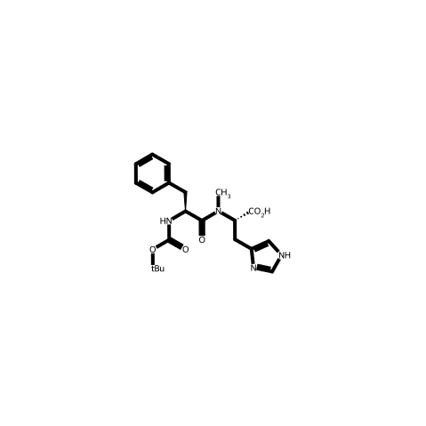 CN(C(=O)[C@H](Cc1ccccc1)NC(=O)OC(C)(C)C)[C@@H](Cc1c[nH]cn1)C(=O)O